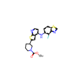 CC(C)(C)OC(=O)N1CCCC(c2cc3c(Nc4ccc5scnc5c4F)ccnc3s2)C1